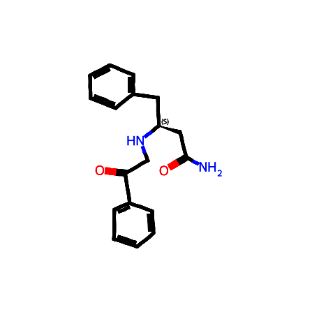 NC(=O)C[C@H](Cc1ccccc1)NCC(=O)c1ccccc1